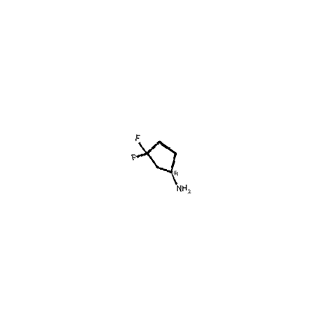 N[C@@H]1CCC(F)(F)C1